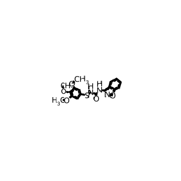 COc1cc(SNC(=O)Nc2noc3ccccc23)cc(OC)c1OC